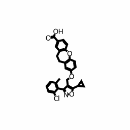 Cc1cccc(Cl)c1-c1noc(C2CC2)c1COc1ccc2c(c1)CCc1cc(C(=O)O)ccc1O2